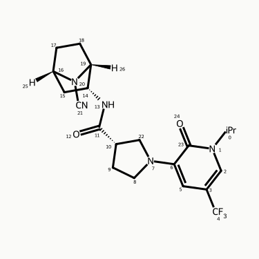 CC(C)n1cc(C(F)(F)F)cc(N2CC[C@H](C(=O)N[C@@H]3C[C@@H]4CC[C@H]3N4C#N)C2)c1=O